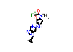 CN1C(=O)C(F)(F)Oc2cc(Nc3cc4c(cn3)ncn4CC3CC3)ccc21